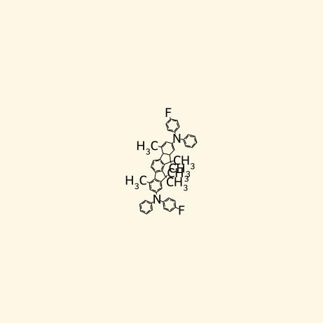 CC1=CC(N(c2ccccc2)c2ccc(F)cc2)=CC2C1c1ccc3c(c1C2(C)C)C(C)(C)c1cc(N(c2ccccc2)c2ccc(F)cc2)cc(C)c1-3